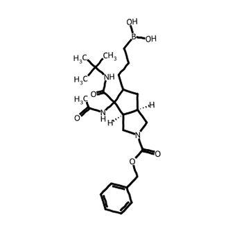 CC(=O)NC1(C(=O)NC(C)(C)C)C(CCCB(O)O)C[C@H]2CN(C(=O)OCc3ccccc3)C[C@H]21